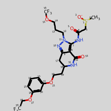 C[S+]([O-])CC(=O)Nc1c2c(nn1CCCOC(F)(F)F)CC(CCOc1cccc(OCC(F)(F)F)c1)NC2=O